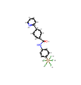 O=C(Nc1ccc(S(F)(F)(F)(F)F)cc1)c1ccc(-c2ccccn2)cc1